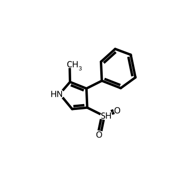 Cc1[nH]cc([SH](=O)=O)c1-c1ccccc1